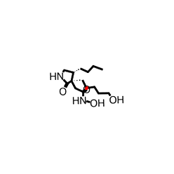 CCCC[C@H]1CNC(=O)[C@]1(CCCCCO)CC(=O)NO